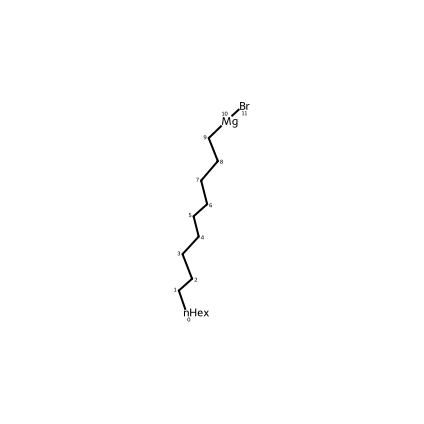 CCCCCCCCCCCCCC[CH2][Mg][Br]